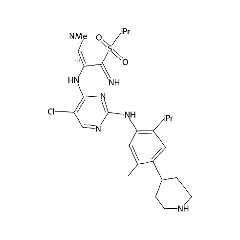 CN/C=C(/Nc1nc(Nc2cc(C)c(C3CCNCC3)cc2C(C)C)ncc1Cl)C(=N)S(=O)(=O)C(C)C